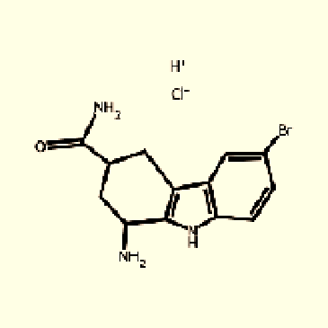 NC(=O)C1Cc2c([nH]c3ccc(Br)cc23)C(N)C1.[Cl-].[H+]